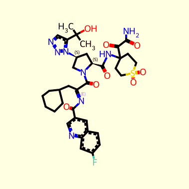 CC(C)(O)c1cnnn1[C@H]1C[C@@H](C(=O)NC2(C(=O)C(N)=O)CCS(=O)(=O)CC2)N(C(=O)/C(CC2CCCCC2)=N/C(=O)c2cnc3cc(F)ccc3c2)C1